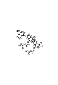 C=CC(=O)OC(C)COC(=O)c1ccccc1C(=O)O.C=CC(=O)OC(C)COC(=O)c1ccccc1C(=O)O.O=C(O)c1ccccc1C(=O)O